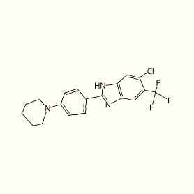 FC(F)(F)c1cc2nc(-c3ccc(N4CCCCC4)cc3)[nH]c2cc1Cl